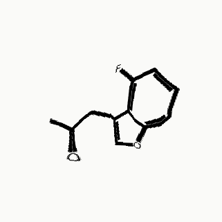 CC(=O)Cc1coc2cccc(F)c12